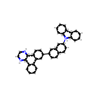 c1ccc2c(c1)c1cc(-c3ccc4ccc(-n5c6ccccc6c6ccccc65)cc4c3)ccc1c1nccnc21